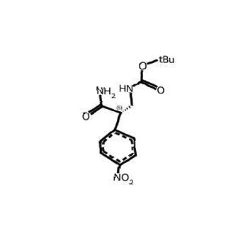 CC(C)(C)OC(=O)NC[C@@H](C(N)=O)c1ccc([N+](=O)[O-])cc1